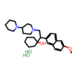 COc1ccc2cc(C(CN3CCC(N4CCCCC4)CC3)C3(O)CCCCC3)ccc2c1.Cl.Cl